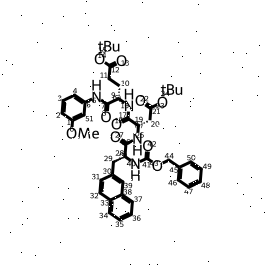 COc1cccc(NC(=O)[C@H](CCC(=O)OC(C)(C)C)NC(=O)[C@H](CC(=O)OC(C)(C)C)NC(=O)[C@H](Cc2ccc3ccccc3c2)NC(=O)OCc2ccccc2)c1